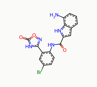 Nc1cccc2cc(C(=O)Nc3ccc(Br)cc3-c3noc(=O)[nH]3)[nH]c12